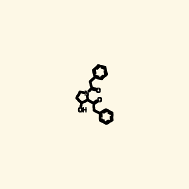 O=C(Cc1ccccc1)C1C(O)CCN1C(=O)Cc1ccccc1